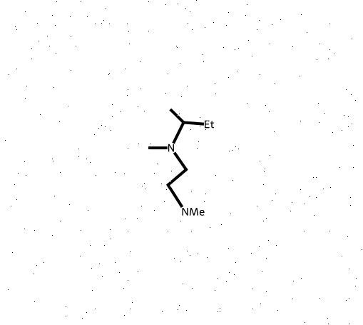 CCC(C)N(C)CCNC